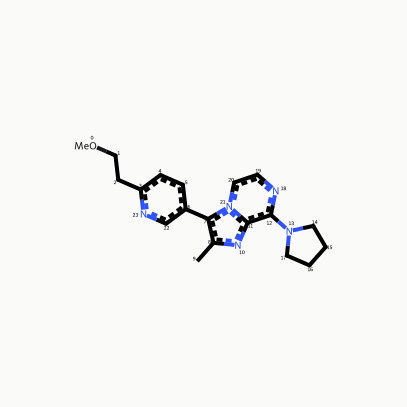 COCCc1ccc(-c2c(C)nc3c(N4CCCC4)nccn23)cn1